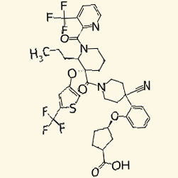 CCC[C@H]1N(C(=O)c2ncccc2C(F)(F)F)CCC[C@@]1(Oc1csc(C(F)(F)F)c1)C(=O)N1CCC(C#N)(c2ccccc2O[C@@H]2CC[C@H](C(=O)O)C2)CC1